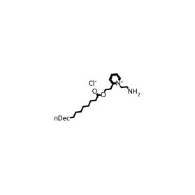 CCCCCCCCCCCCCCCCCC(=O)OCCc1cccc[n+]1CCN.[Cl-]